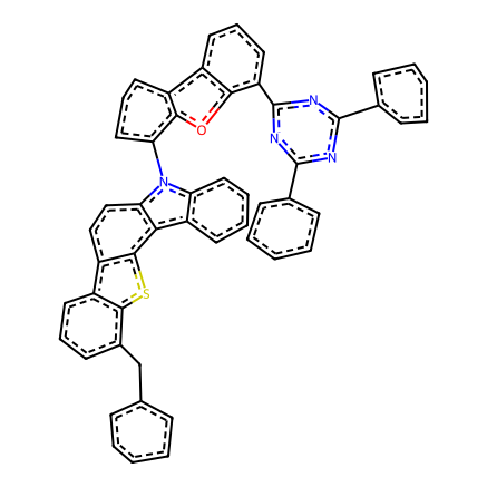 c1ccc(Cc2cccc3c2sc2c3ccc3c2c2ccccc2n3-c2cccc3c2oc2c(-c4nc(-c5ccccc5)nc(-c5ccccc5)n4)cccc23)cc1